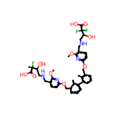 COc1nc(OCc2cccc(-c3cccc(COc4ccc(CNCC(O)C(F)(F)C(=O)O)c(OC)n4)c3C)c2C)ccc1CNCC(O)C(C)(F)C(=O)O